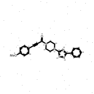 COc1ccc(C#CC(=O)N2CCN(c3nc(-c4ccccc4)ns3)CC2)cc1